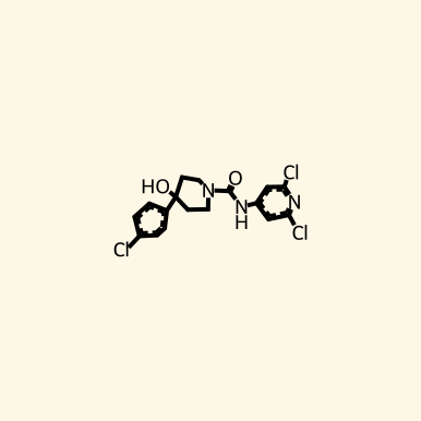 O=C(Nc1cc(Cl)nc(Cl)c1)N1CCC(O)(c2ccc(Cl)cc2)CC1